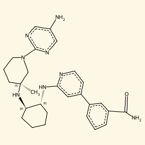 C[C@]1(N[C@@H]2CCCC[C@H]2Nc2cc(-c3cccc(C(N)=O)c3)ccn2)CCCN(c2ncc(N)cn2)C1